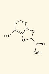 COC(=O)C1Oc2cccc([N+](=O)[O-])c2O1